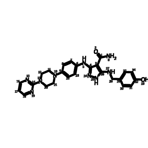 NC(=O)c1c(Nc2ccc(N3CCN(c4ncccn4)CC3)cc2)n[nH]c1NCc1ccc(O)cc1